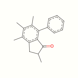 Cc1c(C)c2c(c(-c3ccccc3)c1C)C(=O)C(C)C2